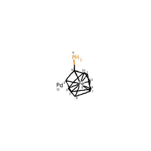 P[C]12[CH]3[CH]4[CH]5[CH]1[Fe]45321678[CH]2[CH]1[CH]6[CH]7[CH]28.[Pd]